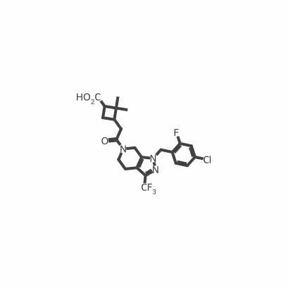 CC1(C)C(CC(=O)N2CCc3c(C(F)(F)F)nn(Cc4ccc(Cl)cc4F)c3C2)CC1C(=O)O